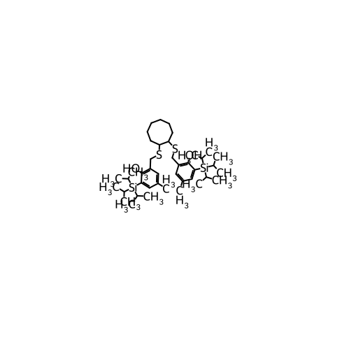 Cc1cc(CSC2CCCCCCC2SCc2cc(C)cc([Si](C(C)C)(C(C)C)C(C)C)c2O)c(O)c([Si](C(C)C)(C(C)C)C(C)C)c1